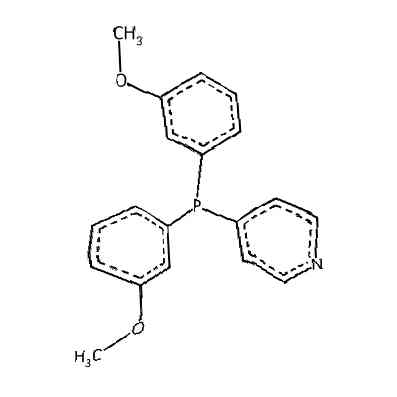 COc1cccc(P(c2ccncc2)c2cccc(OC)c2)c1